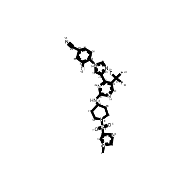 Cn1cnc(S(=O)(=O)N2CCC(Nc3ncc(C(F)(F)F)c(-c4cn(-c5ccc(C#N)cc5Cl)cn4)n3)CC2)c1